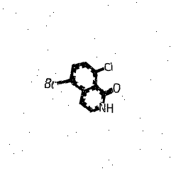 O=c1[nH]ccc2c(Br)ccc(Cl)c12